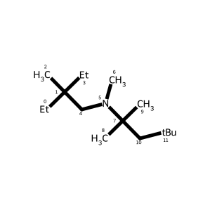 CCC(C)(CC)CN(C)C(C)(C)CC(C)(C)C